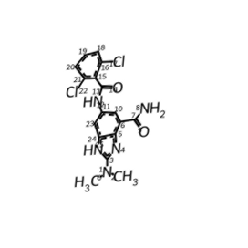 CN(C)c1nc2c(C(N)=O)cc(NC(=O)c3c(Cl)cccc3Cl)cc2[nH]1